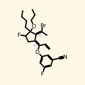 C=C/C(Oc1cc(F)cc(C#N)c1)=C1/CC(F)C(CCCC)(OCCC)/C1=C(/C)Br